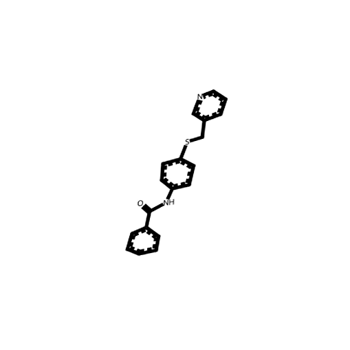 O=C(Nc1ccc(SCc2cccnc2)cc1)c1ccccc1